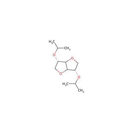 CC(C)O[C@H]1COC2C1OC[C@@H]2OC(C)C